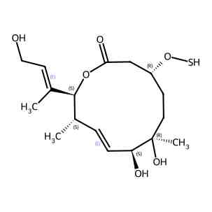 C/C(=C\CO)[C@H]1OC(=O)C[C@H](OS)CC[C@@](C)(O)[C@@H](O)/C=C/[C@@H]1C